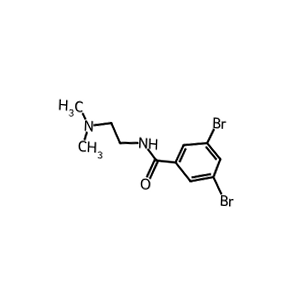 CN(C)CCNC(=O)c1cc(Br)cc(Br)c1